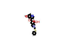 COc1ccc2nccc(C(=O)CCC3CCN(CCSC4CCCCC4)CC3C(=O)O)c2c1